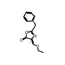 CCO/C=C1\N=C(Cc2ccccc2)OC1=O